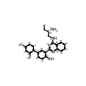 CC[C@H](N)CNc1nc(-c2cc(-c3ccc(F)cc3F)ccc2O)nc2ccccc12